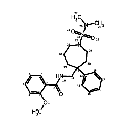 COc1ccccc1C(=O)NCC1(c2ccccc2)CCCN(S(=O)(=O)N(C)C)CC1